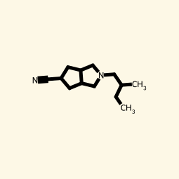 CCC(C)CN1CC2CC(C#N)CC2C1